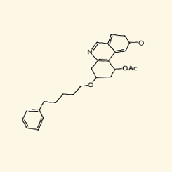 CC(=O)OC1CC(OCCCCCc2ccccc2)Cc2ncc3c(c21)=CC(=O)CC=3